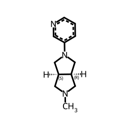 CN1C[C@@H]2CN(c3cccnc3)C[C@@H]2C1